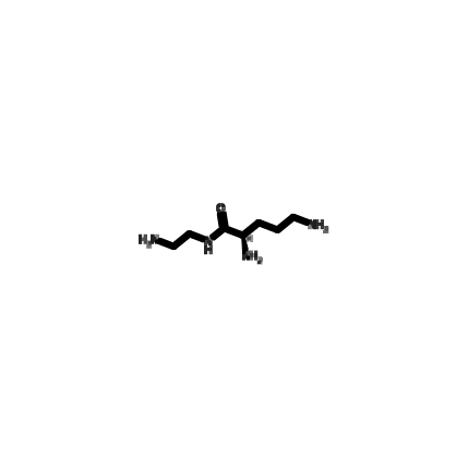 NCCC[C@@H](N)C(=O)NCCN